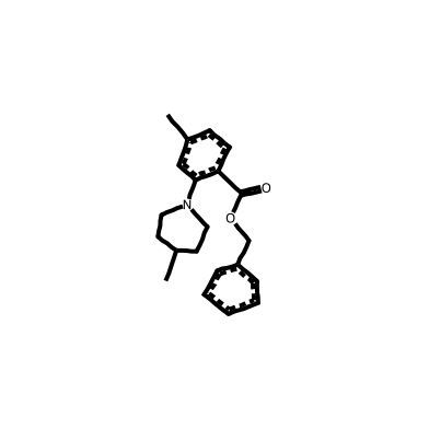 Cc1ccc(C(=O)OCc2ccccc2)c(N2CCC(C)CC2)c1